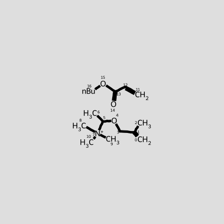 C=C(C)COC(C)[N+](C)(C)C.C=CC(=O)OCCCC